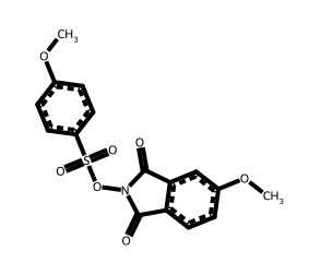 COc1ccc(S(=O)(=O)ON2C(=O)c3ccc(OC)cc3C2=O)cc1